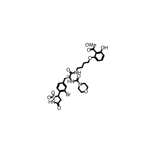 COC(=O)c1c(O)cccc1OCCCCNC(=O)[C@H](Cc1ccc(C2CC(=O)NS2(=O)=O)c(Br)c1)NC(=O)N1CCOCC1